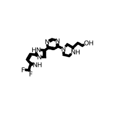 N=C(/C=C\c1ncc(-c2cc(N3CCNC(CCO)C3)ncn2)[nH]1)C(F)F